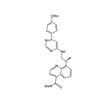 CNC(=O)c1ccnc2c([C@H](C)CNc3cc(-c4ccc(OC)cc4)ncn3)cccc12